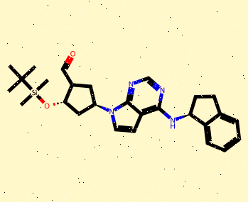 CC(C)(C)[Si](C)(C)O[C@H]1C[C@H](n2ccc3c(N[C@H]4CCc5ccccc54)ncnc32)CC1C=O